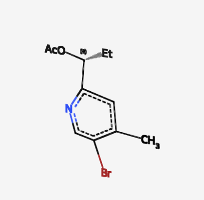 CC[C@@H](OC(C)=O)c1cc(C)c(Br)cn1